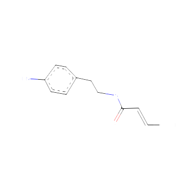 Nc1ccc(CCNC(=O)/C=C/C(=O)O)cc1